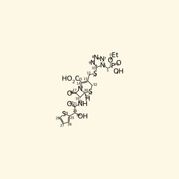 CCOP(=O)(O)Cn1nnnc1SCC1=C(C(=O)O)N2C(=O)[C@@H](NC(=O)C(O)c3cccs3)[C@H]2SC1